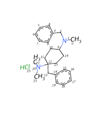 CN(Cc1ccccc1)C1CCC(Cc2ccccc2)(N(C)C)CC1.Cl